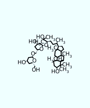 C[C@H](CC[C@@H](O[C@H]1C[C@@H](O)C[C@@H](CO[C@H]2C[C@@H](O)C[C@@H](CO)O2)O1)C(C)(C)O)[C@H]1CC[C@@]2(C)[C@@H]3CC=C4C(CC[C@H](O)C4(C)C)[C@]3(C)CC[C@]12C